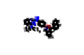 CN(C)c1nc(N[C@H]2CC[C@@H](NCc3ccccc3C(O)c3cccc4ccccc34)CC2)nc2ccccc12